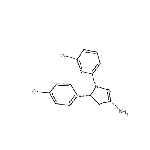 NC1=NN(c2cccc(Cl)n2)C(c2ccc(Cl)cc2)C1